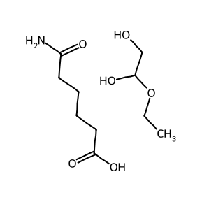 CCOC(O)CO.NC(=O)CCCCC(=O)O